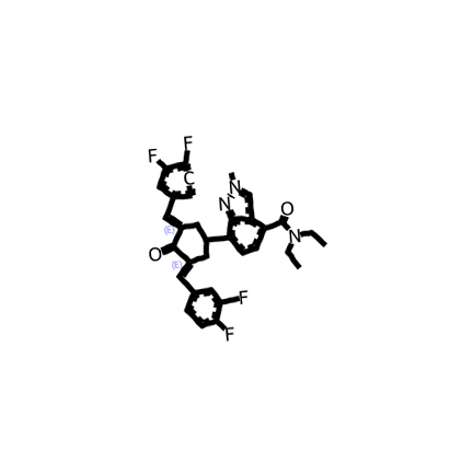 CCN(CC)C(=O)c1ccc(C2C/C(=C\c3ccc(F)c(F)c3)C(=O)/C(=C/c3ccc(F)c(F)c3)C2)c2nn(C)cc12